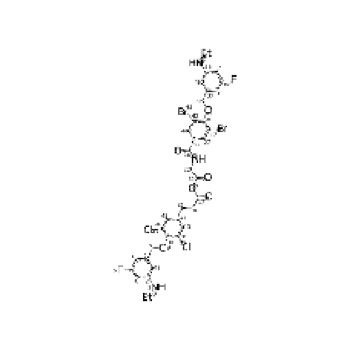 CCNc1cc(F)cc(COc2c(Cl)cc(CCC(=O)OC(=O)CNC(=O)c3cc(Br)c(OCc4cc(F)cc(NCC)c4)c(Br)c3)cc2Cl)c1